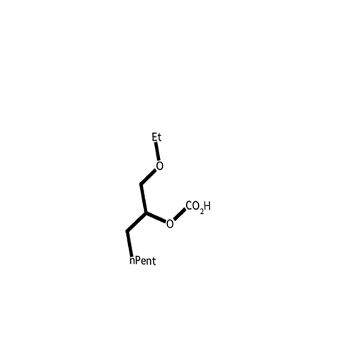 CCCCCCC(COCC)OC(=O)O